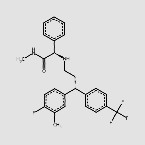 CNC(=O)[C@H](NCC[C@H](c1ccc(C(F)(F)F)cc1)c1ccc(F)c(C)c1)c1ccccc1